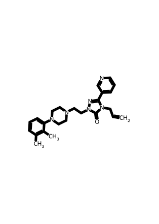 C=CCn1c(-c2cccnc2)nn(CCN2CCN(c3cccc(C)c3C)CC2)c1=O